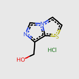 Cl.OCc1ncn2ccsc12